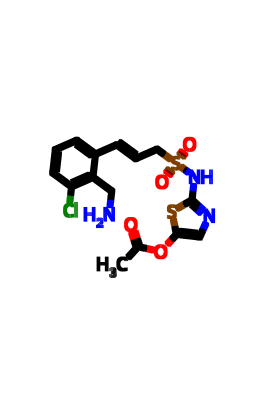 CC(=O)Oc1cnc(NS(=O)(=O)CC=Cc2cccc(Cl)c2CN)s1